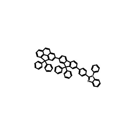 c1ccc(-n2c(-c3ccc(-c4ccc5c(c4)C(c4ccccc4)(c4ccccc4)c4cc(-c6cc7c8c(ccc9cccc(c98)C7(c7ccccc7)c7ccccc7)c6)ccc4-5)cc3)nc3ccccc32)cc1